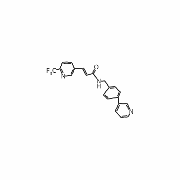 O=C(/C=C/c1ccc(C(F)(F)F)nc1)NCc1ccc(-c2cccnc2)cc1